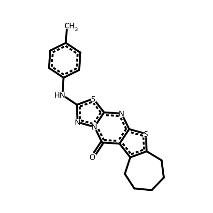 Cc1ccc(Nc2nn3c(=O)c4c5c(sc4nc3s2)CCCCC5)cc1